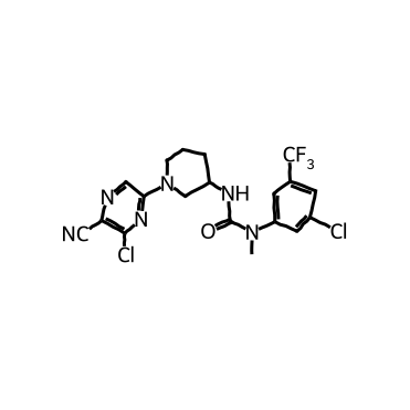 CN(C(=O)NC1CCCN(c2cnc(C#N)c(Cl)n2)C1)c1cc(Cl)cc(C(F)(F)F)c1